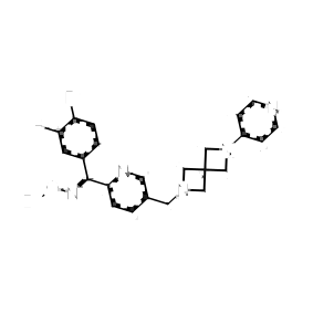 CCON=C(c1ccc(F)c(F)c1)c1ccc(CN2CC3(C2)CN(c2ccncc2)C3)cn1